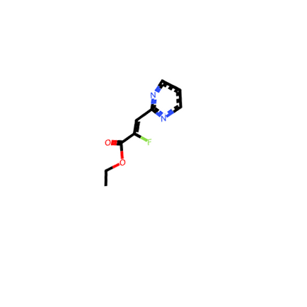 CCOC(=O)/C(F)=C/c1ncccn1